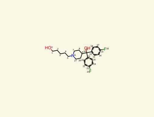 OCCCCCN1CCC(C(O)(c2ccc(F)cc2)c2ccc(F)cc2)CC1